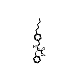 CCCCCc1ccc(CN[C@@H](Cc2ccccc2)C(=O)OC)cc1